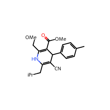 COCC1=C(C(=O)OC)C(c2ccc(C)cc2)C(C#N)=C(CC(C)C)N1